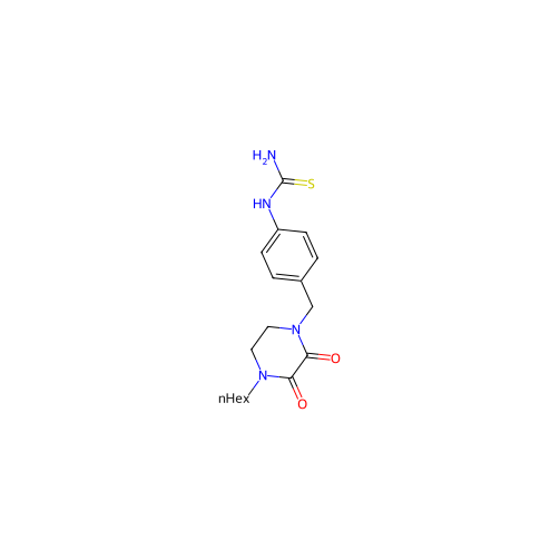 CCCCCCN1CCN(Cc2ccc(NC(N)=S)cc2)C(=O)C1=O